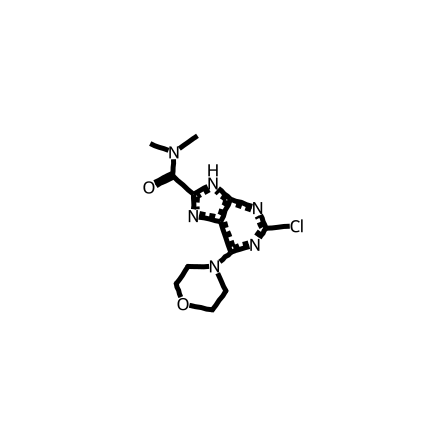 CN(C)C(=O)c1nc2c(N3CCOCC3)nc(Cl)nc2[nH]1